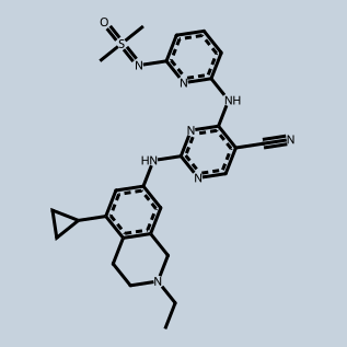 CCN1CCc2c(cc(Nc3ncc(C#N)c(Nc4cccc(N=S(C)(C)=O)n4)n3)cc2C2CC2)C1